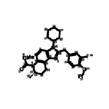 COC(=O)N1c2ccc3c(nc(Cc4ccc(OC(C)C)c(F)c4)n3C3CCCCC3)c2CC[C@@H]1C